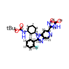 CC(C)(C)OC(=O)N[C@H]1CCC[C@@H](n2c(-c3ccccc3F)nc3cnc(-c4noc(=O)[nH]4)cc32)C1